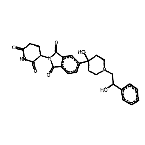 O=C1CCC(N2C(=O)c3ccc(C4(O)CCN(CC(O)c5ccccc5)CC4)cc3C2=O)C(=O)N1